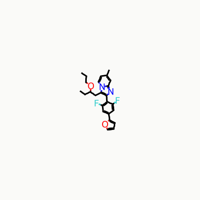 CCCOC(CC)Cc1c(-c2c(F)cc(-c3ccco3)cc2F)nc2cc(C)ccn12